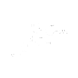 COc1ccc(NC(=O)c2c(O)c3cc(SC)ccc3n(C)c2=O)cc1